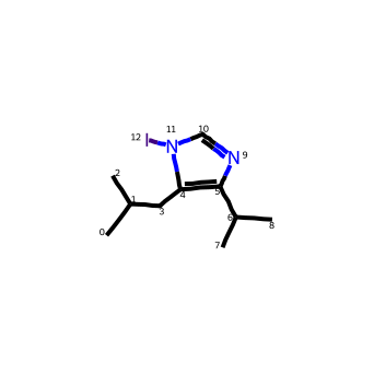 CC(C)Cc1c(C(C)C)ncn1I